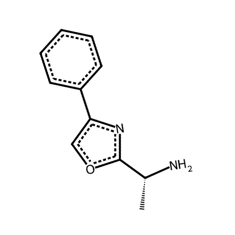 C[C@@H](N)c1nc(-c2ccccc2)co1